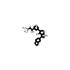 CCc1c(-c2cncc(C(O)C(=O)N(C)C)c2)cnc2[nH]cc(-c3ccc4c(c3)C=CC4)c12